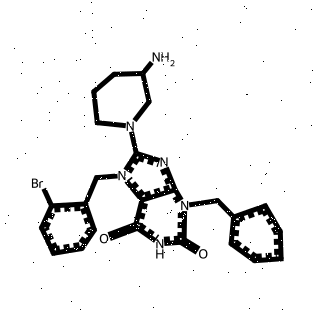 NC1CCCN(c2nc3c(c(=O)[nH]c(=O)n3Cc3ccccc3)n2Cc2ccccc2Br)C1